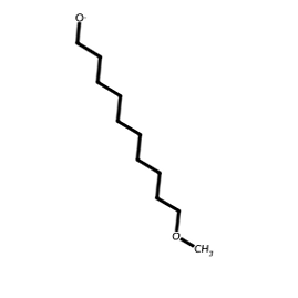 COCCCCCCCCCC[O]